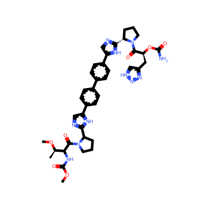 COC(=O)NC(C(=O)N1CCCC1c1ncc(-c2ccc(-c3ccc(-c4cnc([C@@H]5CCCN5C(=O)[C@H](Cc5c[nH]nn5)OC(N)=O)[nH]4)cc3)cc2)[nH]1)[C@@H](C)OC